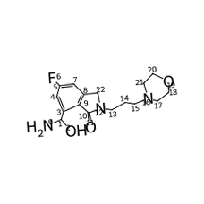 NC(O)c1cc(F)cc2c1C(=O)N(CCCN1CCOCC1)C2